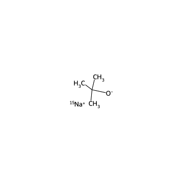 CC(C)(C)[O-].[15Na+]